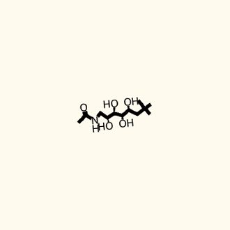 CC(=O)NC[C@@H](O)[C@@H](O)[C@H](O)[C@@H](O)CC(C)(C)C